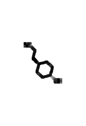 N#CCC[C@H]1CC[C@H](O)CC1